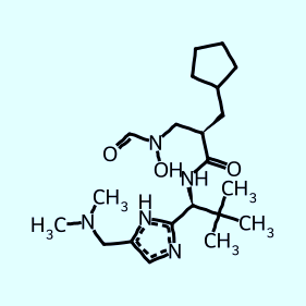 CN(C)Cc1cnc([C@@H](NC(=O)[C@H](CC2CCCC2)CN(O)C=O)C(C)(C)C)[nH]1